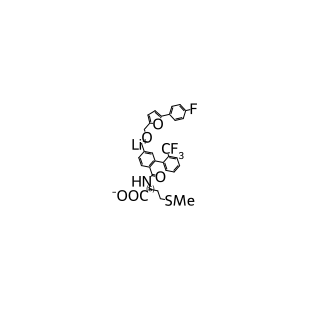 CSCC[C@H](NC(=O)c1ccc(COCc2ccc(-c3ccc(F)cc3)o2)cc1-c1ccccc1C(F)(F)F)C(=O)[O-].[Li+]